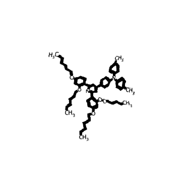 CCCCCCOc1ccc(-c2cc(-c3ccc(N(c4ccc(C)cc4)c4ccc(C)cc4)cc3)cc(-c3ccc(OCCCCCC)cc3OCCCCCC)n2)c(OCCCCCC)c1